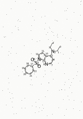 CCN(CC)c1ccnc2c1ccn2S(=O)(=O)c1ccccc1